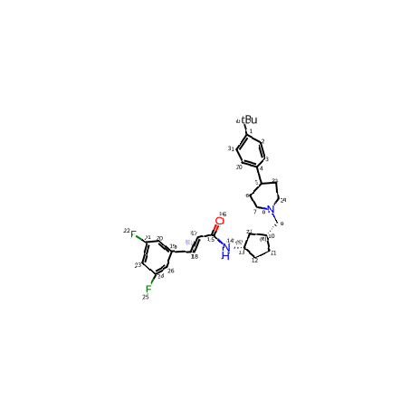 CC(C)(C)c1ccc(C2CCN(C[C@@H]3CC[C@H](NC(=O)/C=C/c4cc(F)cc(F)c4)C3)CC2)cc1